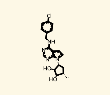 [CH2][C@H]1C[C@@H](n2ccc3c(NCc4ccc(Cl)cc4)ncnc32)[C@H](O)[C@@H]1O